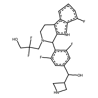 OCC(F)(F)CN1CCc2c([nH]c3c(F)cccc23)C1c1c(F)cc(C(O)C2CNC2)cc1F